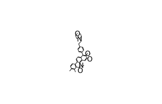 COc1cc2c(ccc3c4ccc(C)c(C)c4c(=O)n(C)c23)c(-c2ccc(CCN3CCOCC3)cc2)c1OC